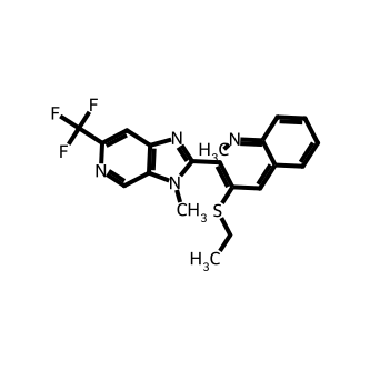 CCSC(=C\c1nc2cc(C(F)(F)F)ncc2n1C)/C=C1/C=CC=C/C1=N/C